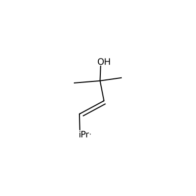 C[C](C)C=CC(C)(C)O